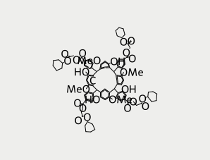 COc1cc(O)c2cc1C(c1ccc(C(=O)OCC(=O)OC3CCCCC3)cc1)c1cc(c(OC)cc1O)C(c1ccc(C(=O)OCC(=O)OC3CCCCC3)cc1)c1cc(c(OC)cc1O)C(c1ccc(C(=O)OCC(=O)OC3CCCCC3)cc1)c1cc(c(OC)cc1O)C2c1ccc(C(=O)OCC(=O)OC2CCCCC2)cc1